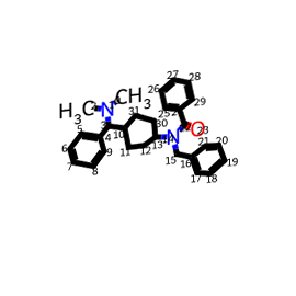 CN(C)C(c1ccccc1)C1CCC(N(Cc2ccccc2)C(=O)c2ccccc2)CC1